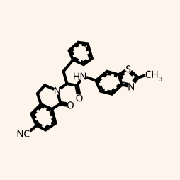 Cc1nc2ccc(NC(=O)C(Cc3ccccc3)N3CCc4cc(C#N)ccc4C3=O)cc2s1